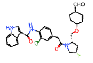 O=CC1CCC(OC[C@@H]2C[C@H](F)CN2C(=O)Cc2ccc(NC(=O)c3c[nH]c4ccccc34)c(Cl)c2)CC1